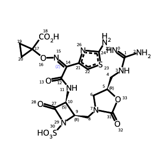 N=C(N)NC[C@@H]1CN(C[C@@H]2[C@H](NC(=O)/C(=N\OC3(C(=O)O)CC3)c3csc(N)n3)C(=O)N2S(=O)(=O)O)C(=O)O1